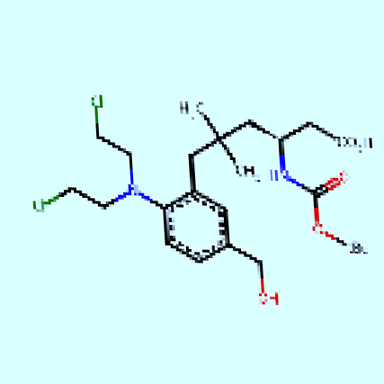 CC(C)(Cc1cc(CO)ccc1N(CCCl)CCCl)C[C@@H](CC(=O)O)NC(=O)OC(C)(C)C